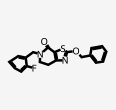 O=C1c2sc(OCc3ccccc3)nc2CCN1Cc1ccccc1F